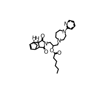 CCCCCC(=O)OC(CN1CCCN(c2ccccn2)CC1)CN1C(=O)C2C3C=C[C@@H](C3)[C@@H]2C1=O